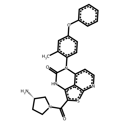 Cc1cc(Oc2ccccc2)ccc1N1C(=O)Nc2c(C(=O)N3CC[C@H](N)C3)sc3nccc1c23